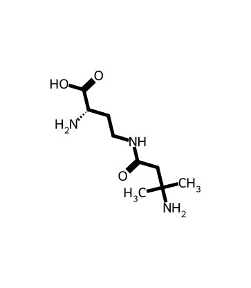 CC(C)(N)CC(=O)NCC[C@H](N)C(=O)O